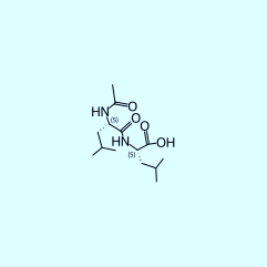 CC(=O)N[C@@H](CC(C)C)C(=O)N[C@@H](CC(C)C)C(=O)O